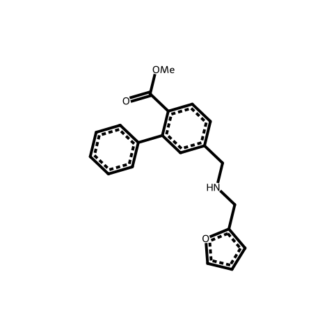 COC(=O)c1ccc(CNCc2ccco2)cc1-c1ccccc1